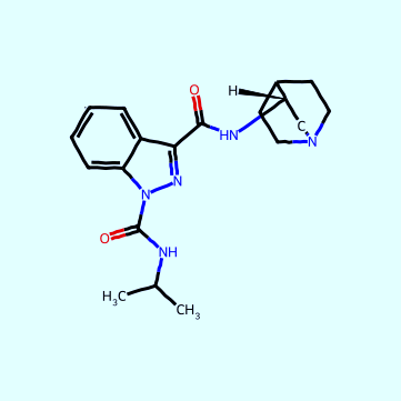 CC(C)NC(=O)n1nc(C(=O)N[C@H]2CN3CCC2CC3)c2c[c]ccc21